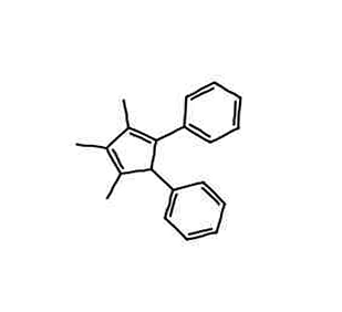 CC1=C(C)C(c2ccccc2)C(c2ccccc2)=C1C